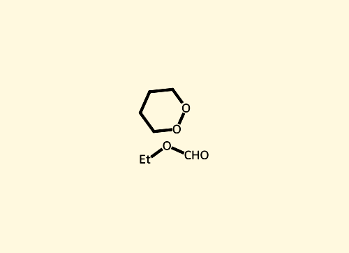 C1CCOOC1.CCOC=O